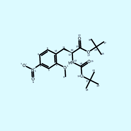 COc1cc([N+](=O)[O-])ccc1C[C@H](NC(=O)OC(C)(C)C)C(=O)OC(C)(C)C